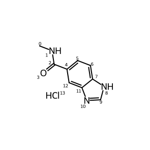 CNC(=O)c1ccc2[nH]cnc2c1.Cl